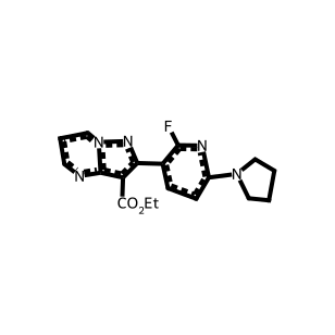 CCOC(=O)c1c(-c2ccc(N3CCCC3)nc2F)nn2cccnc12